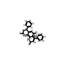 CC1=NC2=C3N=C(C)CC(c4ccccc4)C3=CC(C)[C@H]2C(c2ccccc2)=C1